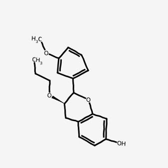 CCCO[C@@H]1Cc2ccc(O)cc2OC1c1cccc(OC)c1